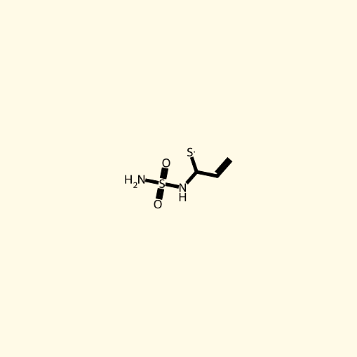 C=CC([S])NS(N)(=O)=O